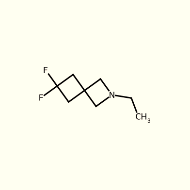 CCN1CC2(C1)CC(F)(F)C2